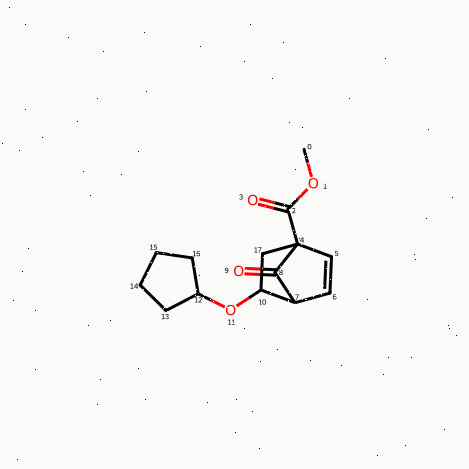 COC(=O)C12C=CC(C1=O)C(OC1CCCC1)C2